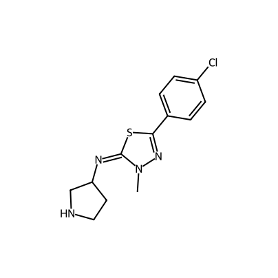 Cn1nc(-c2ccc(Cl)cc2)s/c1=N/C1CCNC1